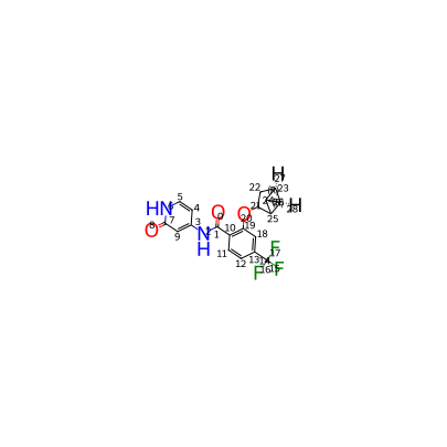 O=C(Nc1cc[nH]c(=O)c1)c1ccc(C(F)(F)F)cc1OC1C[C@@H]2C3C1[C@@H]32